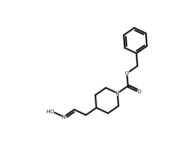 O=C(OCc1ccccc1)N1CCC(CC=NO)CC1